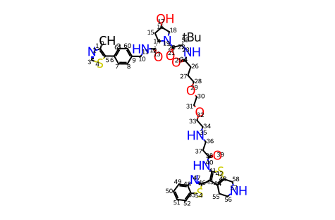 Cc1ncsc1-c1ccc(CNC(=O)[C@@H]2C[C@@H](O)CN2C(=O)[C@@H](NC(=O)CCCOCCOCCNCCC(=O)Nc2sc3c(c2-c2nc4ccccc4s2)CCNC3)C(C)(C)C)cc1